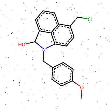 COc1ccc(CN2c3ccc(CCl)c4cccc(c34)C2O)cc1